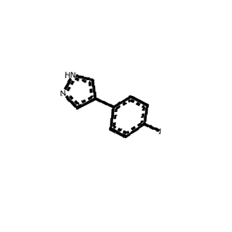 Ic1ccc(-c2cn[nH]c2)cc1